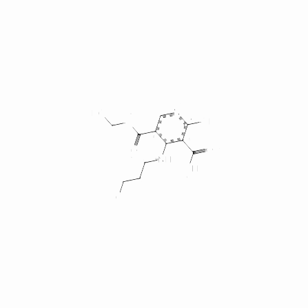 CCCCNc1c(C(=O)OCC)cnc(O)c1C(C)=O